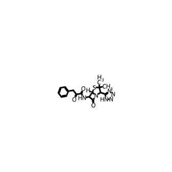 CC1(C)S[C@H]2C(NC(=O)C(=O)Cc3ccccc3)C(=O)N2C1c1nnn[nH]1